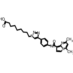 Cc1cc(C)n2ccc(C(=O)Nc3ccc(-c4cn(CCCCCCCCC(=O)O)nn4)cc3)c2n1